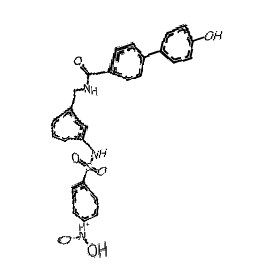 O=C(NCc1cccc(NS(=O)(=O)c2ccc([NH+]([O-])O)cc2)c1)c1ccc(-c2ccc(O)cc2)cc1